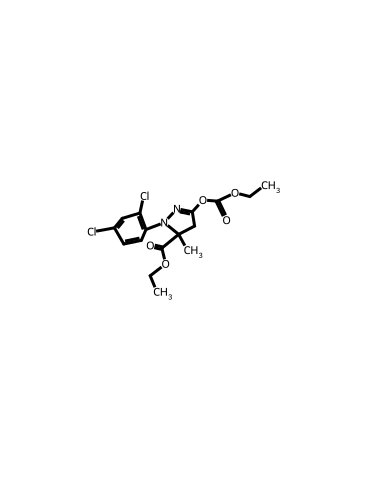 CCOC(=O)OC1=NN(c2ccc(Cl)cc2Cl)C(C)(C(=O)OCC)C1